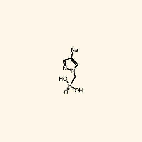 O=P(O)(O)Cn1c[c]([Na])cn1